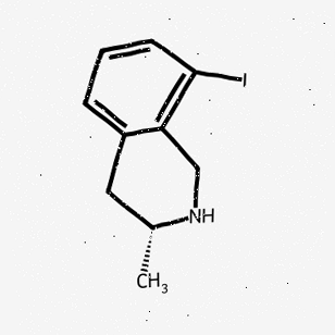 C[C@@H]1Cc2cccc(I)c2CN1